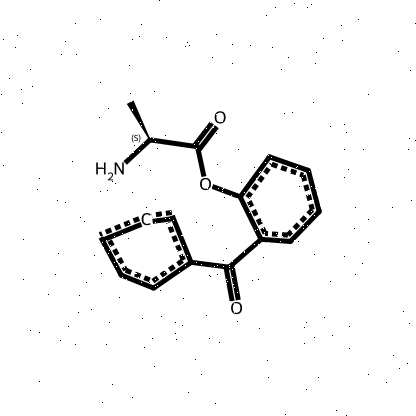 C[C@H](N)C(=O)Oc1ccccc1C(=O)c1ccccc1